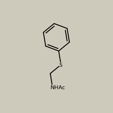 CC(=O)NCSc1ccccc1